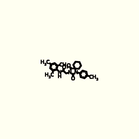 Cc1ccc(N2C(=O)N(CC(=O)Nc3c(C)cc(C)cc3C)C(=O)C23CCCCC3)cc1